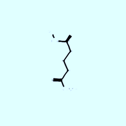 COC(=O)CC[CH]C(=O)OC(C)(C)C